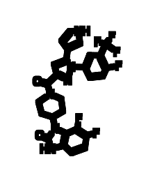 O=C(c1cc(-c2cc[nH]c2)n(-c2ccc(F)c(C(F)(F)F)c2)n1)N1CCC(n2c(=O)[nH]c3ccc(F)c(F)c32)CC1